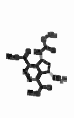 COC(=O)c1nnc(C(=O)OC)c2c1[C@@H](C(=O)O)C[C@H]2NC(=O)OC(C)(C)C